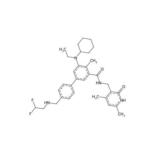 CCN(c1cc(-c2ccc(CNCC(F)F)cc2)cc(C(=O)NCc2c(C)cc(C)[nH]c2=O)c1C)C1CCCCC1